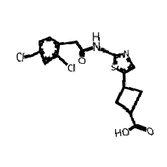 O=C(Cc1ccc(Cl)cc1Cl)Nc1ncc(C2CC(C(=O)O)C2)s1